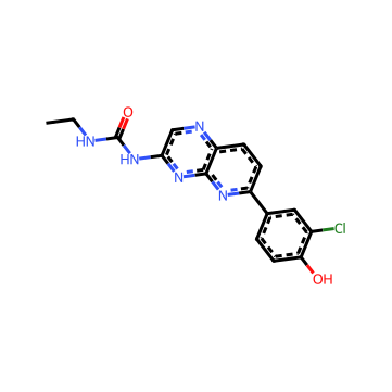 CCNC(=O)Nc1cnc2ccc(-c3ccc(O)c(Cl)c3)nc2n1